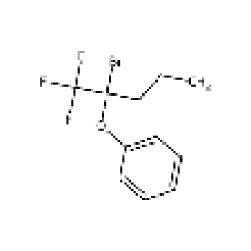 CCCC(Br)(Oc1ccccc1)C(F)(F)F